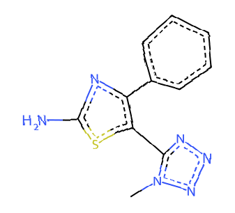 Cn1nnnc1-c1sc(N)nc1-c1ccccc1